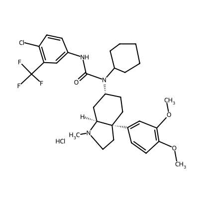 COc1ccc([C@@]23CC[C@@H](N(C(=O)Nc4ccc(Cl)c(C(F)(F)F)c4)C4CCCCC4)C[C@@H]2N(C)CC3)cc1OC.Cl